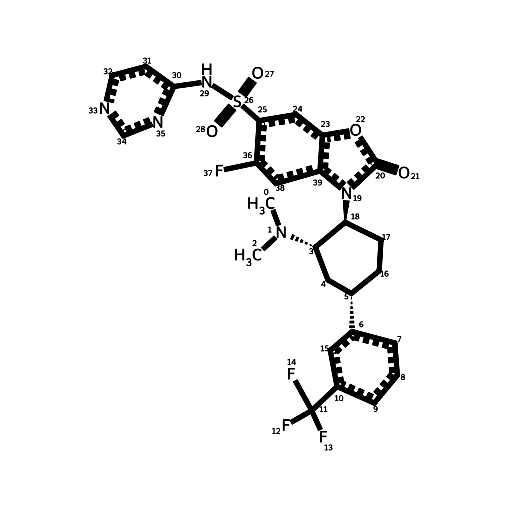 CN(C)[C@H]1C[C@@H](c2cccc(C(F)(F)F)c2)CC[C@@H]1n1c(=O)oc2cc(S(=O)(=O)Nc3ccncn3)c(F)cc21